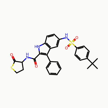 CC(C)(C)c1ccc(S(=O)(=O)Nc2ccc3[nH]c(C(=O)NC4CCSC4=O)c(-c4ccccc4)c3c2)cc1